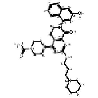 CC(=O)N1CCN(c2nc(OCCCN3CCOCC3)nc3c2CCN(c2cc(O)cc4ccccc24)C3=O)CC1